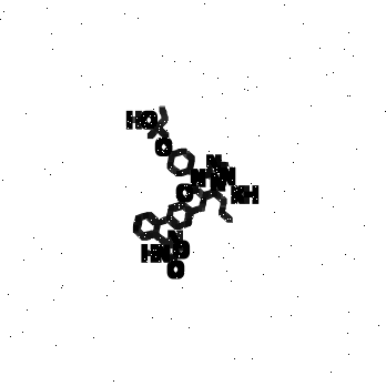 CCCc1c(Cc2ccc(-c3ccccc3-c3noc(=O)[nH]3)cc2)c(=O)n(C2CCC(OCC(C)(O)CC)CC2)c2ncnn12.[KH]